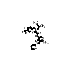 CC[C@H](C)CN(Cc1ccc(C(F)(F)F)cn1)C(=O)C(=O)Nc1cnc(N)c2cn(C3CCCCO3)nc12